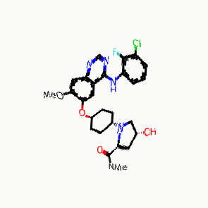 CNC(=O)[C@@H]1C[C@@H](O)CN1[C@H]1CC[C@H](Oc2cc3c(Nc4cccc(Cl)c4F)ncnc3cc2OC)CC1